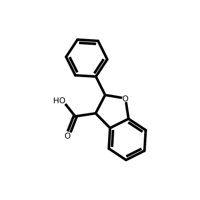 O=C(O)C1c2ccccc2OC1c1ccccc1